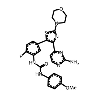 COc1ccc(NC(=O)Nc2cc(-c3sc(N4CCOCC4)nc3-c3ccnc(N)n3)ccc2F)cc1